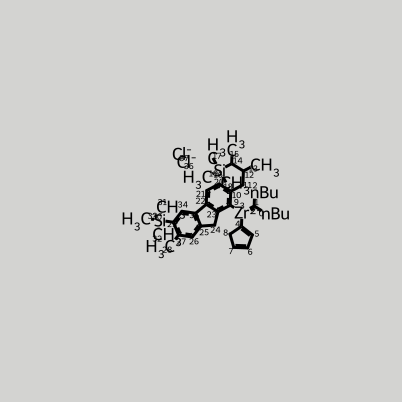 CCCC[C](CCCC)=[Zr+2]([C]1=CC=CC1)[c]1c(CC(C)C(C)[Si](C)(C)C)ccc2c1Cc1cc(C)c([Si](C)(C)C)cc1-2.[Cl-].[Cl-]